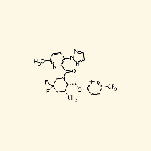 Cc1ccc(-n2nccn2)c(C(=O)N2CC(F)(F)C[C@@H](C)[C@H]2COc2ccc(C(F)(F)F)cn2)n1